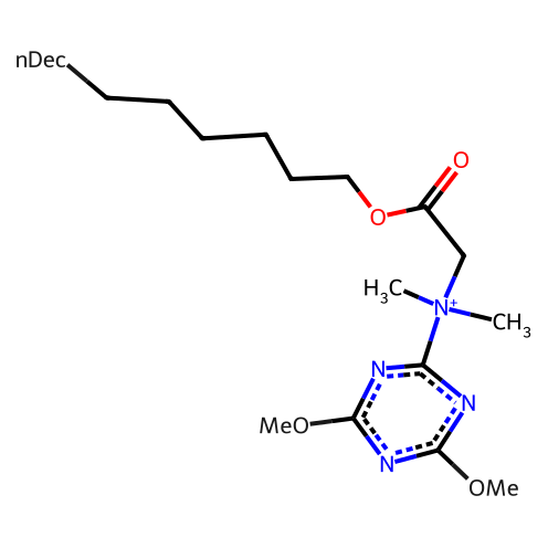 CCCCCCCCCCCCCCCCOC(=O)C[N+](C)(C)c1nc(OC)nc(OC)n1